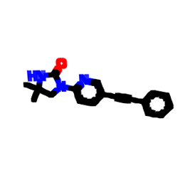 CC1(C)CN(c2ccc(C#Cc3ccccc3)cn2)C(=O)N1